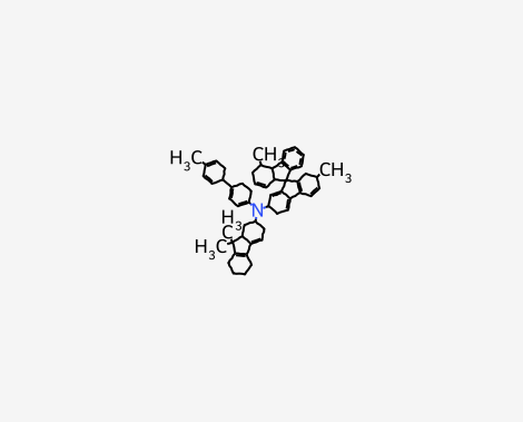 CC1=CCC(C2=CC=C(N(C3C=C4C(=CC3)C3=C(CC(C)C=C3)C43c4ccccc4C4C(C)CC=CC43)C3CC=C4C5=C(CCCC5)C(C)(C)C4C3)CC2)C=C1